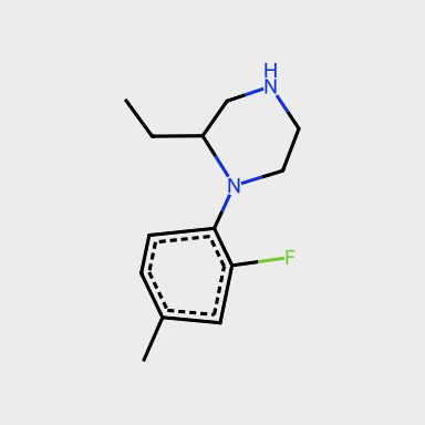 CCC1CNCCN1c1ccc(C)cc1F